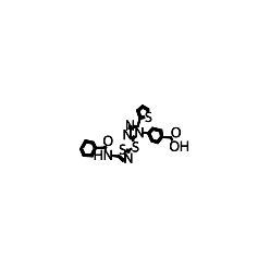 O=C(O)c1ccc(-n2c(Sc3ncc(NC(=O)c4ccccc4)s3)nnc2-c2cccs2)cc1